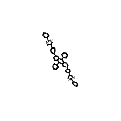 c1ccc(-c2ncc(-c3ccc(-c4ccc5c(-c6ccccc6)c6cc(-c7ccc(-c8cnc(-c9ccccc9)nc8)cc7)ccc6c(-c6ccccc6)c5c4)cc3)cn2)cc1